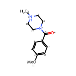 [CH2-][NH+]1CCN(C(=O)c2ccc(OC)cc2)CC1